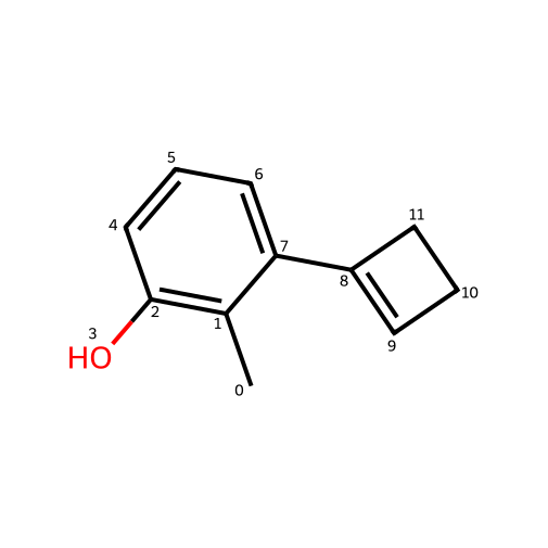 Cc1c(O)cccc1C1=CCC1